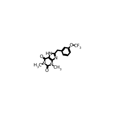 Cn1c(=O)c2[nH]c(Cc3cccc(OC(F)(F)F)c3)nc2n(C)c1=O